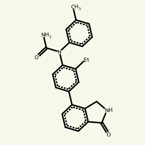 CCc1cc(-c2cccc3c2CNC3=O)ccc1N(C(N)=O)c1cccc(C)c1